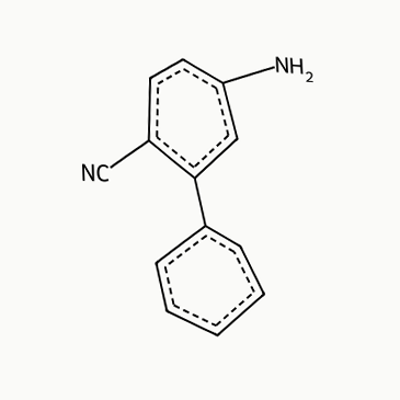 N#Cc1ccc(N)cc1-c1ccccc1